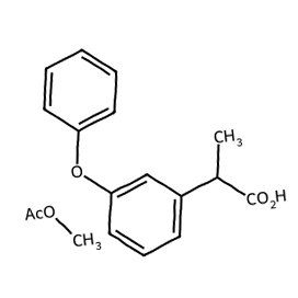 CC(C(=O)O)c1cccc(Oc2ccccc2)c1.COC(C)=O